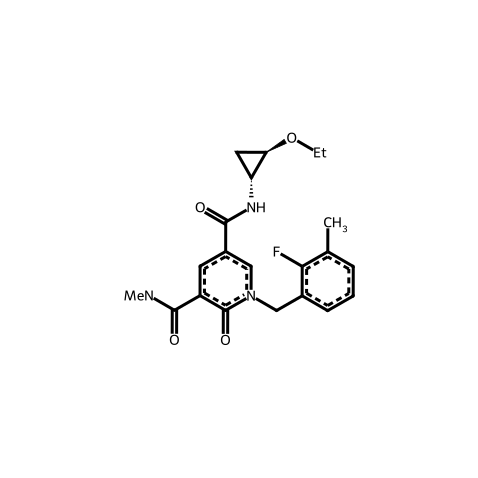 CCO[C@@H]1C[C@H]1NC(=O)c1cc(C(=O)NC)c(=O)n(Cc2cccc(C)c2F)c1